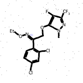 CCO/N=C(/COc1c(F)c(C(F)(F)F)nn1C)c1ccc(Cl)cc1Cl